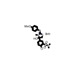 Br.COc1ccc(/N=C2/SCC(O)(c3ccc(Cl)c(S(=O)(=O)N(C)C)c3)N2C)cc1